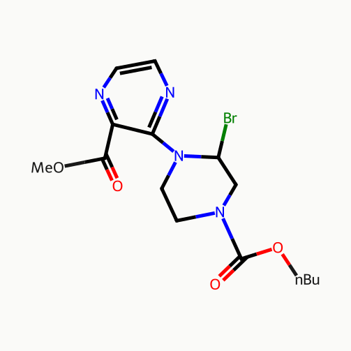 CCCCOC(=O)N1CCN(c2nccnc2C(=O)OC)C(Br)C1